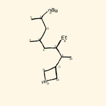 CCCCC(C)CC(C)CC(CC)C(C)C1CNC1